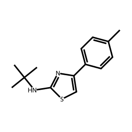 Cc1ccc(-c2csc(NC(C)(C)C)n2)cc1